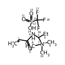 C=CC(=O)NC(CC)[N+](C)(C)C.O=S(=O)(O)C(F)(F)F